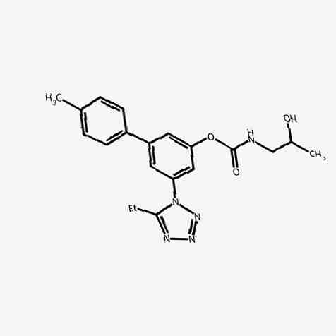 CCc1nnnn1-c1cc(OC(=O)NCC(C)O)cc(-c2ccc(C)cc2)c1